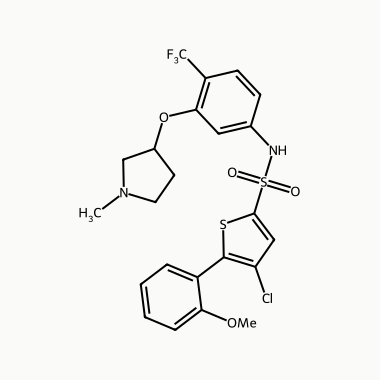 COc1ccccc1-c1sc(S(=O)(=O)Nc2ccc(C(F)(F)F)c(OC3CCN(C)C3)c2)cc1Cl